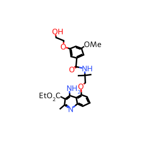 CCOC(=O)c1c(C)nc2cccc(OCC(C)(C)NC(=O)c3cc(OC)cc(OCCO)c3)c2c1N